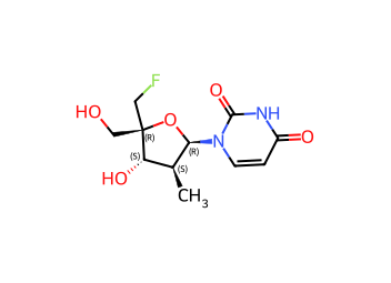 C[C@@H]1[C@H](n2ccc(=O)[nH]c2=O)O[C@@](CO)(CF)[C@H]1O